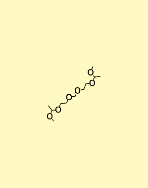 COC(C)OCCOCOCCOC(C)OC